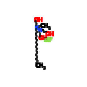 CCCCCCCCCCCCCCCCCCN(CCCO)C(CC)N(CCCO)CCCO.F.F